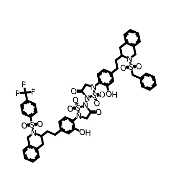 O=C1CN(c2ccc(CCC3Cc4ccccc4CN3S(=O)(=O)Cc3ccccc3)cc2O)S(=O)(=O)N1N1C(=O)CN(c2ccc(CCC3Cc4ccccc4CN3S(=O)(=O)c3ccc(C(F)(F)F)cc3)cc2O)S1(=O)=O